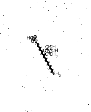 CC(O)N(C(C)O)C(C)O.CCCCCCCCCCCCCCCCCCOS(=O)(=O)O